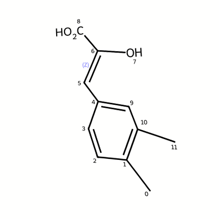 Cc1ccc(/C=C(\O)C(=O)O)cc1C